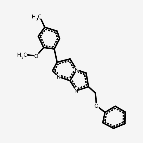 COc1cc(C)ccc1-c1cnc2nc(COc3ccccc3)cn2c1